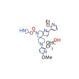 CCOc1ncccc1-c1ccc2c(n1)CN(C(=O)OC1CNC1)CC21CCN(c2ccc(OC)nc2C(F)(F)F)CC1.O=CO